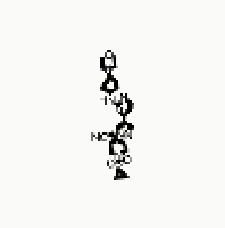 N#CCC1(n2cc(-c3ccnc(Nc4ccc(N5CCOCC5)cc4)n3)cn2)CCN(S(=O)(=O)C2CC2)CC1